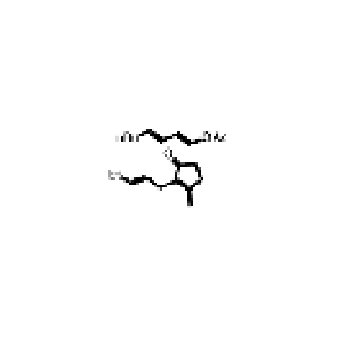 CC/C=C/CC1=C(C)CCC1=O.CCCC/C=C/C=C/OC(C)=O